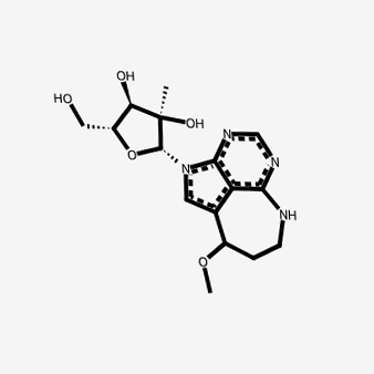 COC1CCNc2ncnc3c2c1cn3[C@@H]1O[C@H](CO)[C@@H](O)[C@@]1(C)O